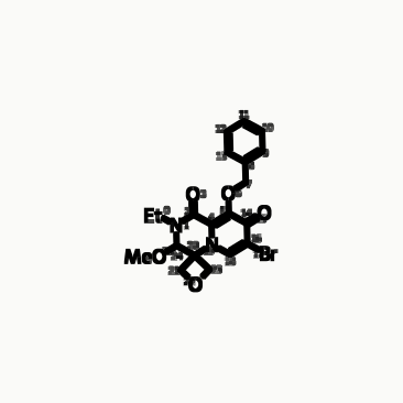 CCN1C(=O)c2c(OCc3ccccc3)c(=O)c(Br)cn2C2(COC2)C1OC